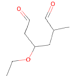 CCOC(CC=O)CC(C)C=O